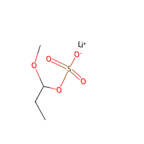 CCC(OC)OS(=O)(=O)[O-].[Li+]